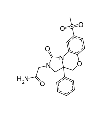 CS(=O)(=O)c1ccc2c(c1)N1C(=O)N(CC(N)=O)CC1(c1ccccc1)CO2